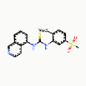 COc1ccc(S(C)(=O)=O)cc1NC(=S)Nc1cccc2cnccc12